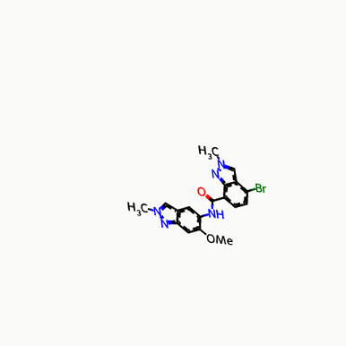 COc1cc2nn(C)cc2cc1NC(=O)c1ccc(Br)c2cn(C)nc12